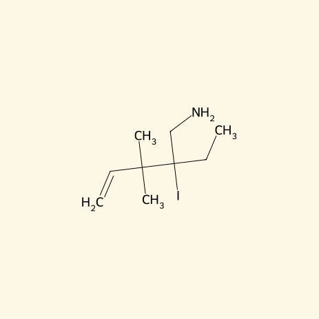 C=CC(C)(C)C(I)(CC)CN